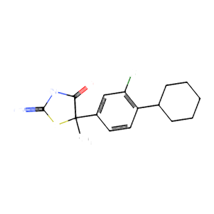 CC1(c2ccc(C3CCCCC3)c(Cl)c2)SC(=N)NC1=O